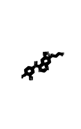 Nc1cc2c(Nc3ccc(F)c(Cl)c3)ncnc2cc1SCCF